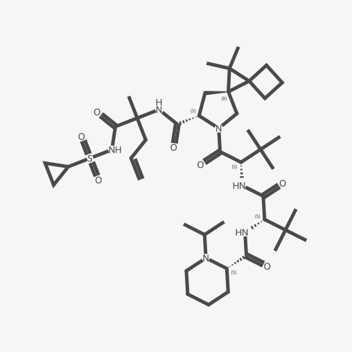 C=CCC(C)(NC(=O)[C@@H]1C[C@@]2(CN1C(=O)[C@@H](NC(=O)[C@@H](NC(=O)[C@@H]1CCCCN1C(C)C)C(C)(C)C)C(C)(C)C)C(C)(C)C21CCC1)C(=O)NS(=O)(=O)C1CC1